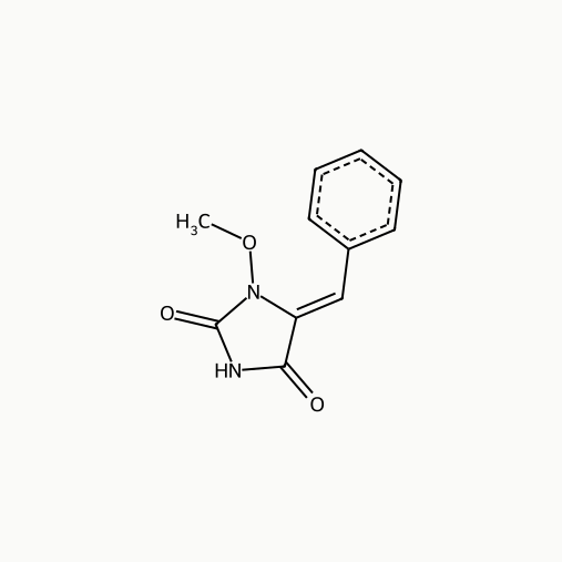 CON1C(=O)NC(=O)C1=Cc1ccccc1